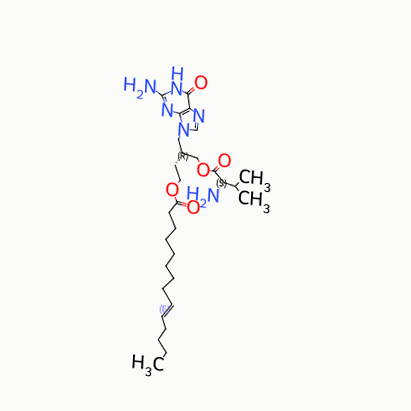 CCCC/C=C/CCCCCCCC(=O)OCC[C@@H](COC(=O)[C@@H](N)C(C)C)Cn1cnc2c(=O)[nH]c(N)nc21